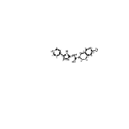 O=C(Nc1nnc(-c2ccncc2)[nH]1)N1CCc2cc(Cl)ncc2C1